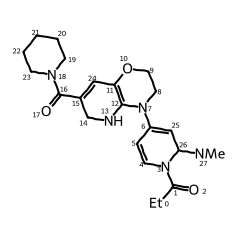 CCC(=O)N1C=CC(N2CCOC3=C2NCC(C(=O)N2CCCCC2)=C3)=CC1NC